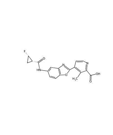 Cc1c(-c2nc3cc(NC(=O)[C@@H]4C[C@@H]4F)ccc3o2)ccnc1C(=O)O